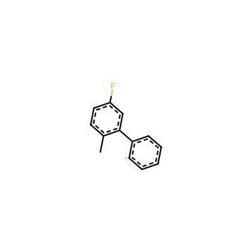 Cc1ccc(F)cc1-c1[c]cccc1